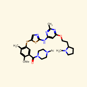 COc1cc(C)c(Sc2cnc(Nc3cc(OCCC4CCCN4C)nc(C)n3)s2)cc1C(=O)N1CCN(C(C)=O)CC1